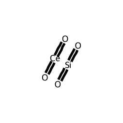 O=[Si]=O.[O]=[Ce]=[O]